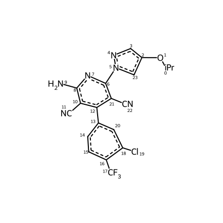 CC(C)Oc1cnn(-c2nc(N)c(C#N)c(-c3ccc(C(F)(F)F)c(Cl)c3)c2C#N)c1